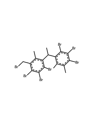 Cc1c(C)c(C(C)c2c(C)c(CBr)c(Br)c(Br)c2Br)c(Br)c(Br)c1Br